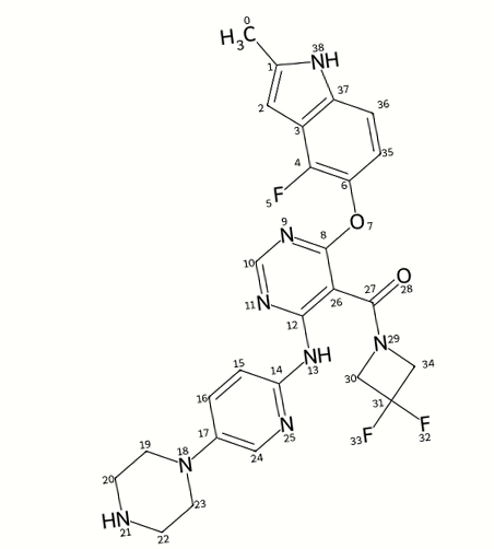 Cc1cc2c(F)c(Oc3ncnc(Nc4ccc(N5CCNCC5)cn4)c3C(=O)N3CC(F)(F)C3)ccc2[nH]1